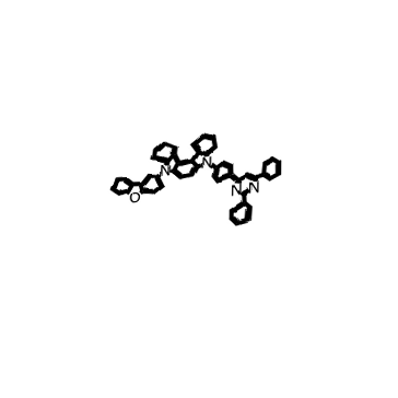 c1ccc(-c2cc(-c3ccc(-n4c5ccccc5c5c6c7ccccc7n(-c7ccc8oc9ccccc9c8c7)c6ccc54)cc3)nc(-c3ccccc3)n2)cc1